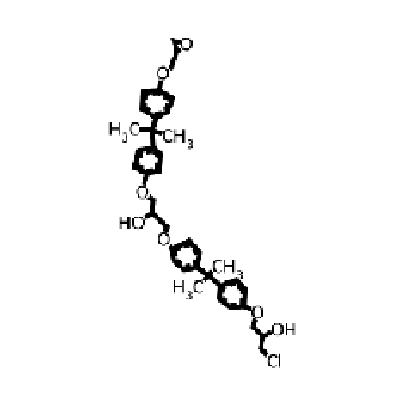 CC(C)(c1ccc(OCC(O)CCl)cc1)c1ccc(OCC(O)COc2ccc(C(C)(C)c3ccc(OCC4CO4)cc3)cc2)cc1